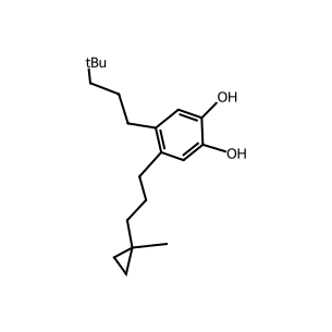 CC(C)(C)CCCc1cc(O)c(O)cc1CCCC1(C)CC1